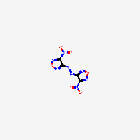 O=[N+]([O-])c1nonc1/N=N/c1nonc1[N+](=O)[O-]